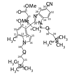 COC(=O)C=CC(C)(c1c(OC)cc(C)c2c1ccn2COCC[Si](C)(C)C)c1nc2cc(C#N)ccc2n1COCC[Si](C)(C)C